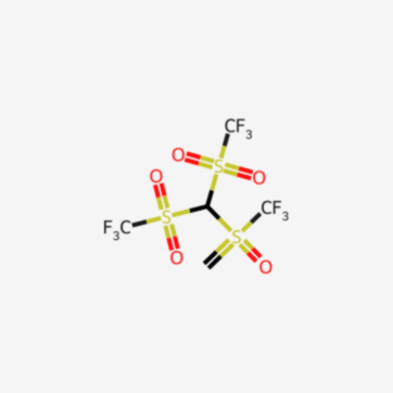 C=S(=O)(C(S(=O)(=O)C(F)(F)F)S(=O)(=O)C(F)(F)F)C(F)(F)F